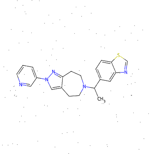 CC(c1ccc2scnc2c1)N1CCc2cn(-c3cccnc3)nc2CC1